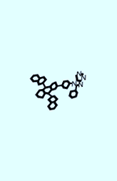 c1ccc(-c2nc3ncncc3n2-c2ccc(-c3ccc4c(-c5ccc6ccccc6c5)c5ccccc5c(-c5ccc6ccccc6c5)c4c3)cc2)cc1